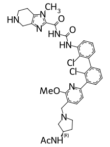 COc1nc(-c2cccc(-c3cccc(NC(=O)NC(=O)c4nc5c(n4C)CCNC5)c3Cl)c2Cl)ccc1CN1CC[C@@H](NC(C)=O)C1